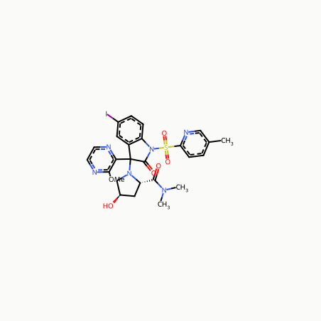 COc1nccnc1C1(N2C[C@H](O)C[C@H]2C(=O)N(C)C)C(=O)N(S(=O)(=O)c2ccc(C)cn2)c2ccc(I)cc21